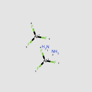 N.N.[F][Al]([F])[F].[F][Al]([F])[F]